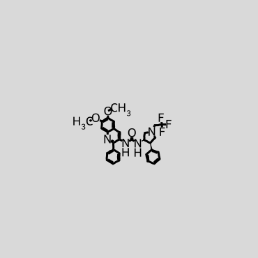 COc1cc2cc(NC(=O)N[C@@H]3CN(CC(F)(F)F)C[C@H]3c3ccccc3)c(-c3ccccc3)nc2cc1OC